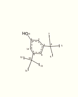 Oc1cc(C(I)(I)I)cc(C(I)(I)I)c1